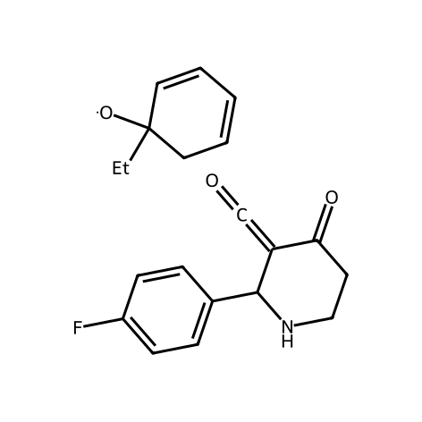 CCC1([O])C=CC=CC1.O=C=C1C(=O)CCNC1c1ccc(F)cc1